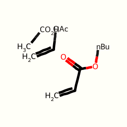 C=CC(=O)OCCCC.C=COC(C)=O.CC(=O)O